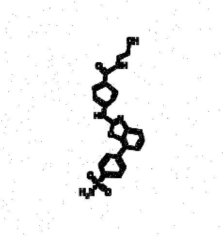 NS(=O)(=O)c1ccc(-c2cccc3nc(Nc4ccc(C(=O)NCCO)cc4)oc23)cc1